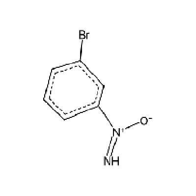 N=[N+]([O-])c1cccc(Br)c1